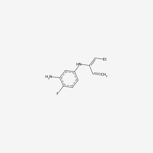 C=C/C(=C\CC)Nc1ccc(F)c(N)c1